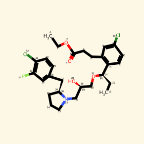 CCOC(=O)CCc1cc(Cl)ccc1[C@@H](CC)OC[C@H](O)CN1CCC[C@H]1Cc1ccc(Cl)c(F)c1